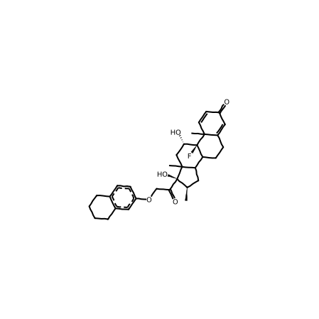 C[C@@H]1CC2C3CCC4=CC(=O)C=CC4(C)[C@@]3(F)[C@@H](O)CC2(C)[C@@]1(O)C(=O)COc1ccc2c(c1)CCCC2